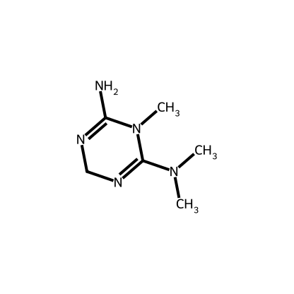 CN(C)C1=NCN=C(N)N1C